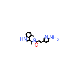 Cc1cccc2[nH]cc(C(C)N(C)C(=O)C=Cc3ccc(N)nc3)c12